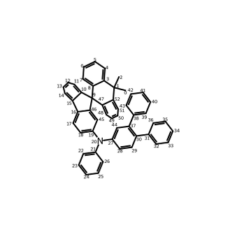 CC1(C)c2ccccc2C2(c3ccccc3-c3ccc(N(c4ccccc4)c4ccc(-c5ccccc5)c(-c5ccccc5)c4)cc32)c2ccccc21